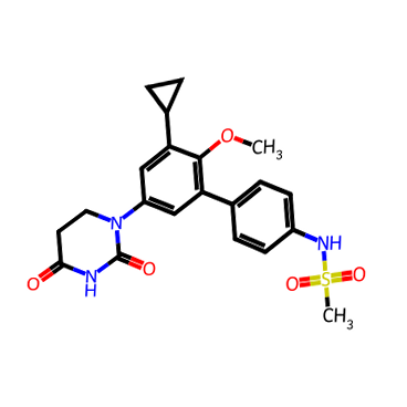 COc1c(-c2ccc(NS(C)(=O)=O)cc2)cc(N2CCC(=O)NC2=O)cc1C1CC1